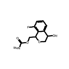 CNC(=O)OCC1OCC(O)c2cccc(F)c21